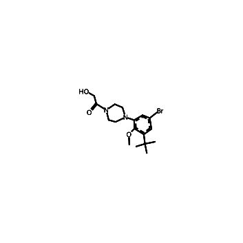 COc1c(N2CCN(C(=O)CO)CC2)cc(Br)cc1C(C)(C)C